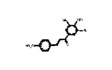 COc1c(C(C)(C)C)cc(C(=O)/C=C/c2ccc(C(=O)O)cc2)cc1C(C)(C)C